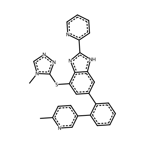 Cc1ccc(-c2ccccc2-c2cc(Sc3nncn3C)c3nc(-c4ccccn4)[nH]c3c2)cn1